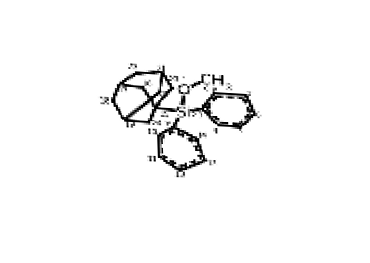 CO[Si](c1ccccc1)(c1ccccc1)C12CC3CC(CC(C3)C1)C2